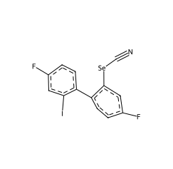 N#C[Se]c1cc(F)ccc1-c1ccc(F)cc1I